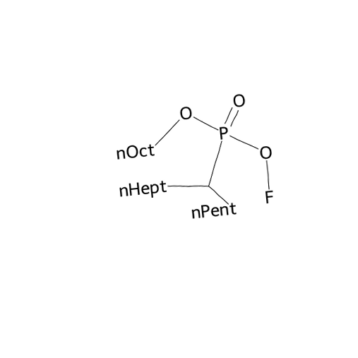 CCCCCCCCOP(=O)(OF)C(CCCCC)CCCCCCC